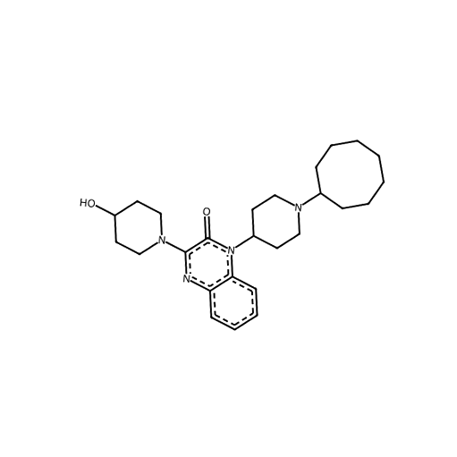 O=c1c(N2CCC(O)CC2)nc2ccccc2n1C1CCN(C2CCCCCCC2)CC1